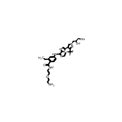 CCc1cc(Nc2nccn3c(-c4cn(CC(O)CO)nc4C(F)(F)F)cnc23)ccc1C(=O)NCCOCCN